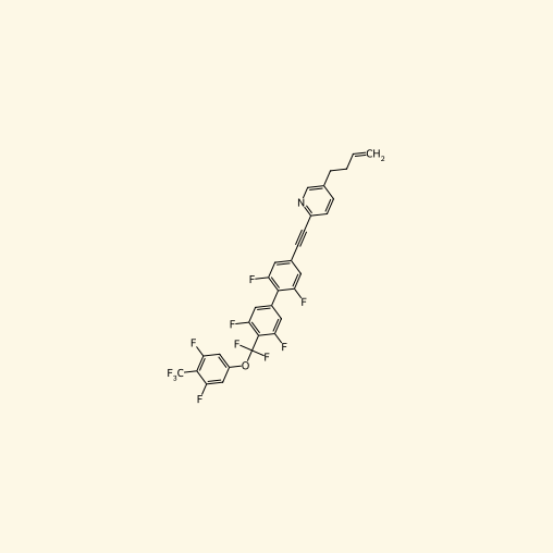 C=CCCc1ccc(C#Cc2cc(F)c(-c3cc(F)c(C(F)(F)Oc4cc(F)c(C(F)(F)F)c(F)c4)c(F)c3)c(F)c2)nc1